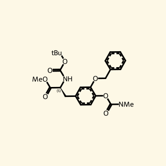 CNC(=O)Oc1ccc(C[C@H](NC(=O)OC(C)(C)C)C(=O)OC)cc1OCc1ccccc1